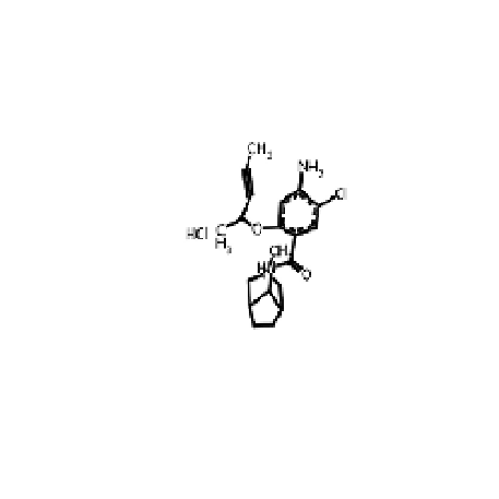 CC#CC(C)Oc1cc(N)c(Cl)cc1C(=O)NC1C2CCC1CN(C)C2.Cl